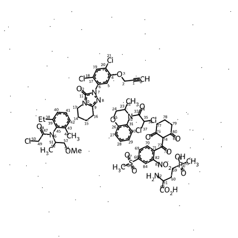 C#CCOc1cc(-n2nc3n(c2=O)CCCC3)c(Cl)cc1Cl.CC1COc2ccccc2N1C(=O)C(Cl)Cl.CCc1cccc(C)c1N(C(=O)CCl)C(C)COC.CP(=O)(O)CCC(N)C(=O)O.CS(=O)(=O)c1ccc(C(=O)C2C(=O)CCCC2=O)c([N+](=O)[O-])c1